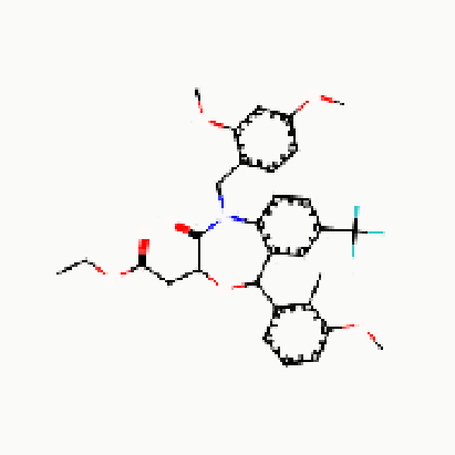 CCOC(=O)CC1OC(c2cccc(OC)c2C)c2cc(C(F)(F)F)ccc2N(Cc2ccc(OC)cc2OC)C1=O